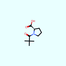 CC(C)(C)C(=O)N1CCC[C@@H]1C(=O)O